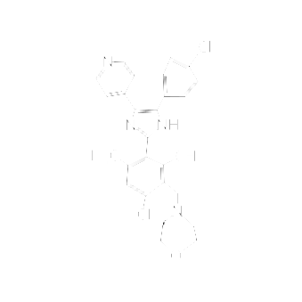 Cc1cc(C)c(-c2nc(-c3ccncc3)c(-c3ccc(Cl)cc3)[nH]2)c(C)c1CN1CCOCC1